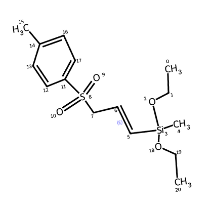 CCO[Si](C)(/C=C/CS(=O)(=O)c1ccc(C)cc1)OCC